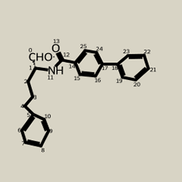 O=[C][C@@H](CCCc1ccccc1)NC(=O)c1ccc(-c2ccccc2)cc1